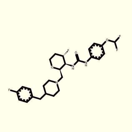 O=C(Nc1ccc(OC(F)F)cc1)N[C@@H]1[C@@H](F)CCO[C@@H]1CN1CCC(Cc2ccc(F)cc2)CC1